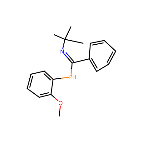 COc1ccccc1PC(=NC(C)(C)C)c1ccccc1